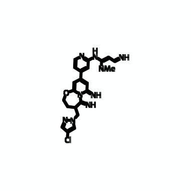 CN/C(=C\C=N)Nc1cc(-c2cc3n(c(=N)c2)C(=N)C(Cn2cc(Cl)cn2)CCO3)ccn1